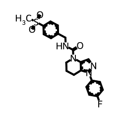 CS(=O)(=O)c1ccc(CNC(=O)N2CCCc3c2cnn3-c2ccc(F)cc2)cc1